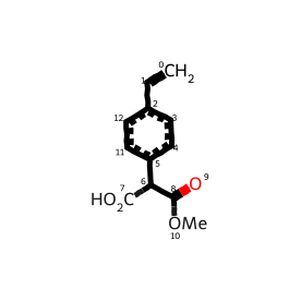 C=Cc1ccc(C(C(=O)O)C(=O)OC)cc1